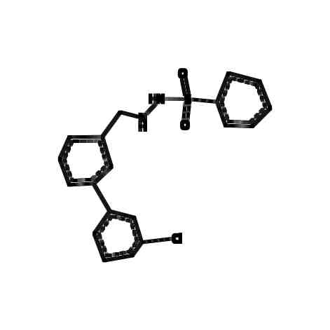 O=S(=O)(NNCc1cccc(-c2cccc(Cl)c2)c1)c1ccccc1